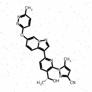 Cc1ccc(Oc2ccc3c(-c4ccc([C@@H](C)O)c(-n5nc(C#N)cc5C)n4)cnn3c2)nn1